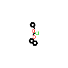 ClC(COc1cccc2ccccc12)OCc1ccccc1